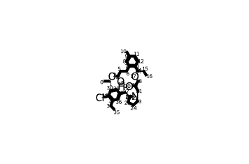 CCOC(=O)CCc1cc(C)ccc1[C@@H](CC)OC[C@H](O)CN1CCC[C@H]1Cc1ccc(Cl)c(CC)c1